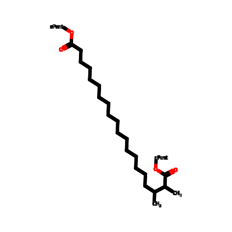 CCCCCOC(=O)CCCCCCCCCCCCCCCCC(C)C(C)C(=O)OCCCCC